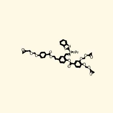 CCCN(/N=C/c1cc(CCOC(=O)c2ccc(OCOCC3CO3)cc2)ccc1OC(=O)c1ccc(OCOC2CO2)c(OCOC2CO2)c1)c1nc2ccccc2s1